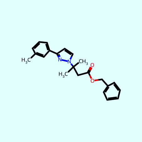 Cc1cccc(-c2ccn(C(C)(C)CC(=O)OCc3ccccc3)n2)c1